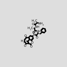 Cc1c2c(=O)oc3cc(NC(=O)[C@H](Cc4ccccc4)NC(=O)[C@H](C)NC(=O)[C@H](C)N)cc(c13)C(=O)CCC2=O